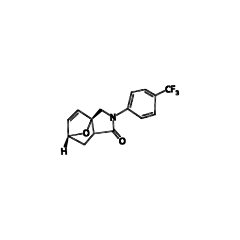 O=C1C2C[C@@H]3C=C[C@@]2(CN1c1ccc(C(F)(F)F)cc1)O3